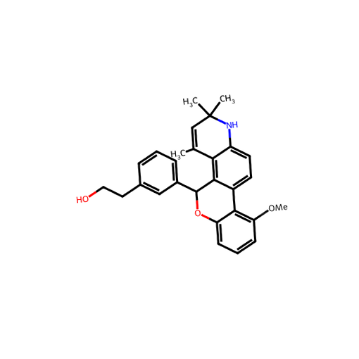 COc1cccc2c1-c1ccc3c(c1C(c1cccc(CCO)c1)O2)C(C)=CC(C)(C)N3